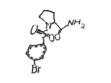 NC(=O)C1CCCN1S(=O)(=O)c1ccc(Br)cc1